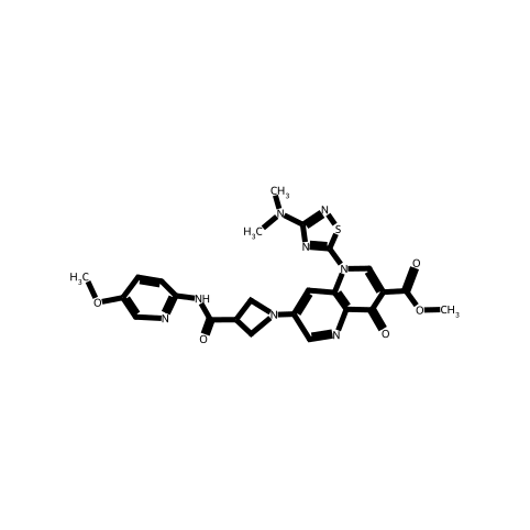 COC(=O)c1cn(-c2nc(N(C)C)ns2)c2cc(N3CC(C(=O)Nc4ccc(OC)cn4)C3)cnc2c1=O